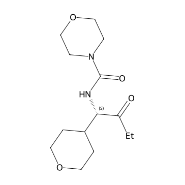 CCC(=O)[C@@H](NC(=O)N1CCOCC1)C1CCOCC1